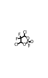 O=P1(F)OC(Cl)C(F)(F)C(Cl)O1